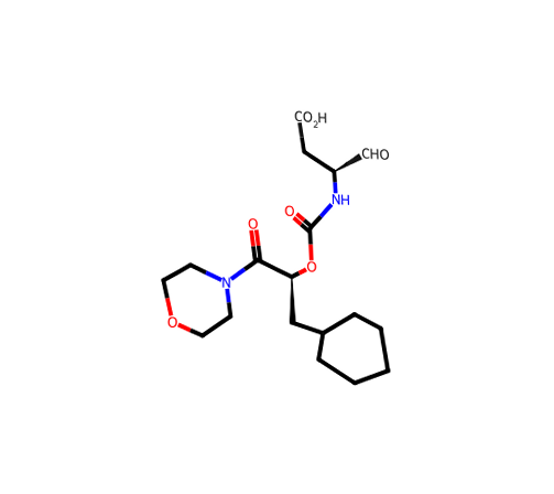 O=C[C@H](CC(=O)O)NC(=O)O[C@@H](CC1CCCCC1)C(=O)N1CCOCC1